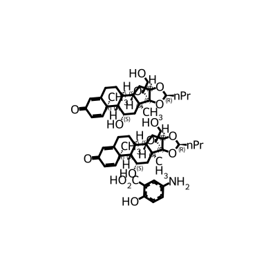 CCC[C@@H]1O[C@@H]2C[C@H]3[C@@H]4CCC5=CC(=O)C=C[C@]5(C)[C@H]4[C@@H](O)C[C@]3(C)[C@]2(C(=O)CO)O1.CCC[C@@H]1O[C@@H]2C[C@H]3[C@@H]4CCC5=CC(=O)C=C[C@]5(C)[C@H]4[C@@H](O)C[C@]3(C)[C@]2(C(=O)CO)O1.Nc1ccc(O)c(C(=O)O)c1